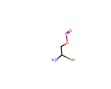 NC(S)COP=O